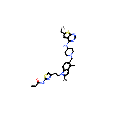 C=CC(=O)Nc1nc(CCn2c(C#N)cc3c(C)c(CN4CCC(Nc5ncnc6sc(CC(F)(F)F)cc56)CC4)ccc32)cs1